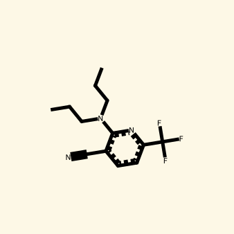 CCCN(CCC)c1nc(C(F)(F)F)ccc1C#N